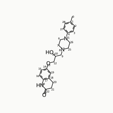 Cc1ccc(N2CCN(C[C@H](O)COc3ccc4c(c3)CCC(=O)N4)CC2)cc1